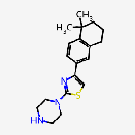 CC1(C)CCCc2cc(-c3csc(N4CCNCC4)n3)ccc21